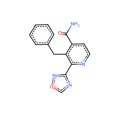 NC(=O)c1ccnc(-c2ncon2)c1Cc1ccccc1